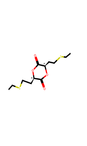 CCSCC[C@H]1OC(=O)[C@@H](CCSCC)OC1=O